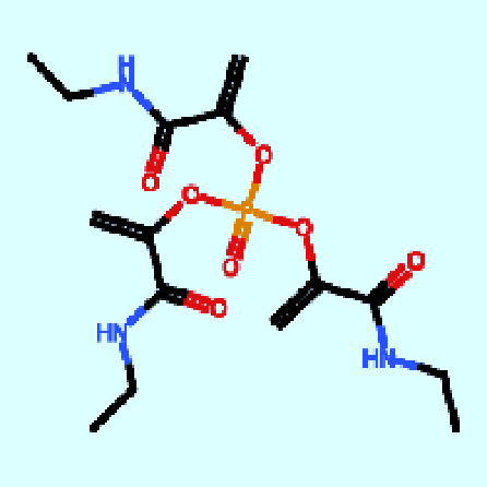 C=C(OP(=O)(OC(=C)C(=O)NCC)OC(=C)C(=O)NCC)C(=O)NCC